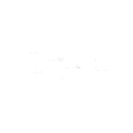 O=C(Nc1ccccc1)N1CCC2(CC2)C1